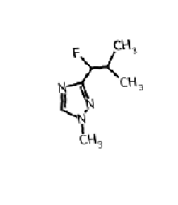 CC(C)C(F)c1ncn(C)n1